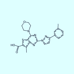 Cc1cccc(-c2ccn(-c3nc(N4CCOCC4)c4sc(C(=O)O)c(C)c4n3)n2)c1